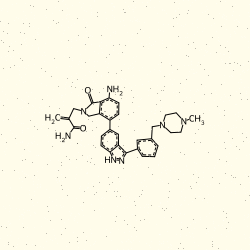 C=C(CN1Cc2c(-c3ccc4[nH]nc(-c5cccc(CN6CCN(C)CC6)c5)c4c3)ccc(N)c2C1=O)C(N)=O